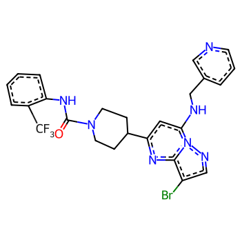 O=C(Nc1ccccc1C(F)(F)F)N1CCC(c2cc(NCc3cccnc3)n3ncc(Br)c3n2)CC1